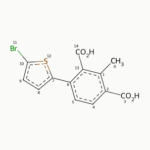 Cc1c(C(=O)O)ccc(-c2ccc(Br)s2)c1C(=O)O